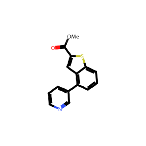 COC(=O)c1cc2c(-c3cccnc3)cccc2s1